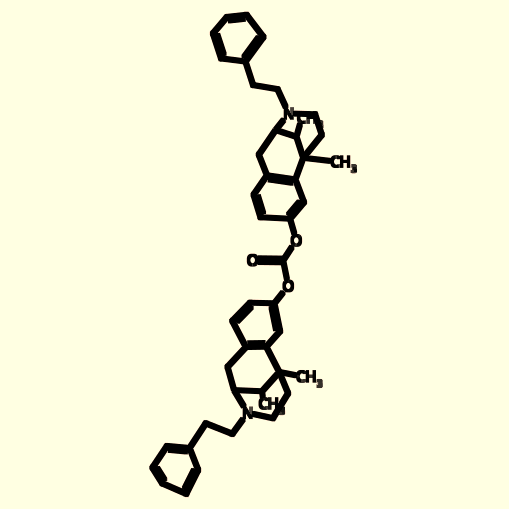 CC1C2Cc3ccc(OC(=O)Oc4ccc5c(c4)C4(C)CCN(CCc6ccccc6)C(C5)C4C)cc3C1(C)CCN2CCc1ccccc1